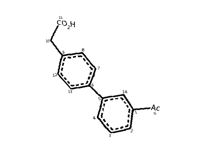 CC(=O)c1cccc(-c2ccc(CC(=O)O)cc2)c1